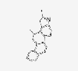 CC1=Nc2ccc3c(c(C)cc4c5ccccc5ccc34)c2C1